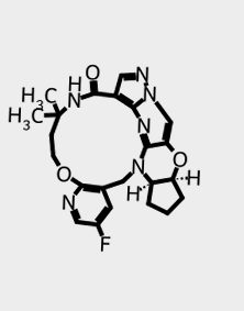 CC1(C)CCOc2ncc(F)cc2CN2c3nc4c(cnn4cc3O[C@H]3CCC[C@H]32)C(=O)N1